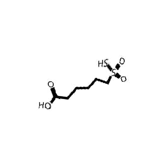 O=C(O)CCCCCS(=O)(=O)S